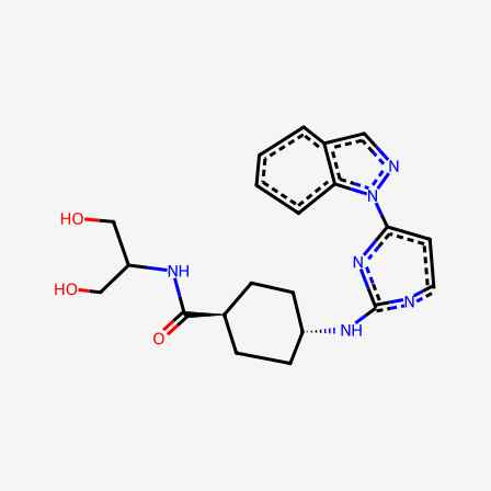 O=C(NC(CO)CO)[C@H]1CC[C@H](Nc2nccc(-n3ncc4ccccc43)n2)CC1